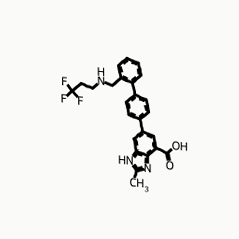 Cc1nc2c(C(=O)O)cc(-c3ccc(-c4ccccc4CNCCC(F)(F)F)cc3)cc2[nH]1